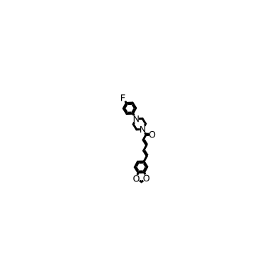 O=C(/C=C/C=C/c1ccc2c(c1)OCO2)N1CCN(c2ccc(F)cc2)CC1